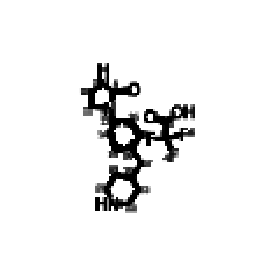 O=C(O)C(F)(F)F.O=C1NCCN1c1ccc(CC2CCNCC2)cc1